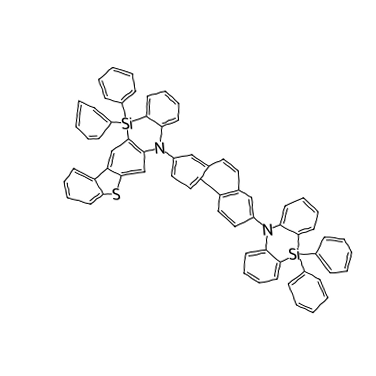 c1ccc([Si]2(c3ccccc3)c3ccccc3N(c3ccc4c(ccc5cc(N6c7ccccc7[Si](c7ccccc7)(c7ccccc7)c7cc8c(cc76)sc6ccccc68)ccc54)c3)c3ccccc32)cc1